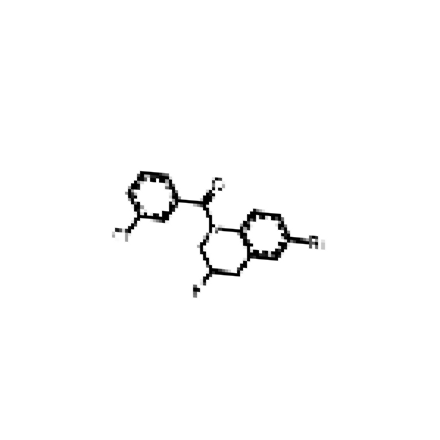 O=C(c1cccc(Cl)c1)N1CC(F)Cc2cc(Br)ccc21